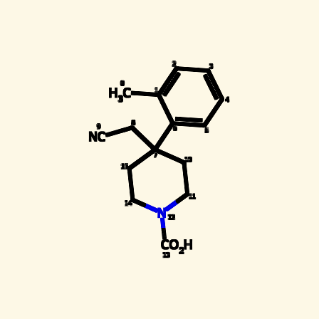 Cc1ccccc1C1(CC#N)CCN(C(=O)O)CC1